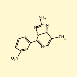 Cc1cnc(-c2cccc([N+](=O)[O-])c2)n2nc(N)nc12